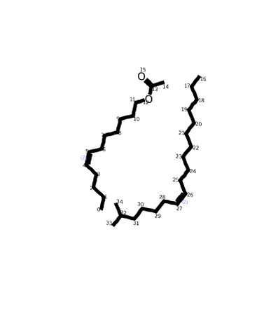 CCCC/C=C\CCCCCCOC(C)=O.CCCCCCCCCC/C=C\CCCCC(C)C